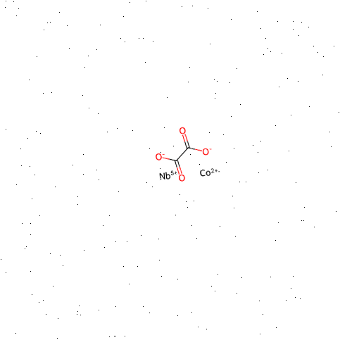 O=C([O-])C(=O)[O-].[Co+2].[Nb+5]